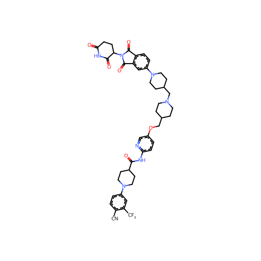 N#Cc1ccc(N2CCC(C(=O)Nc3ccc(OCC4CCN(CC5CCN(c6ccc7c(c6)C(=O)N(C6CCC(=O)NC6=O)C7=O)CC5)CC4)cn3)CC2)cc1C(F)(F)F